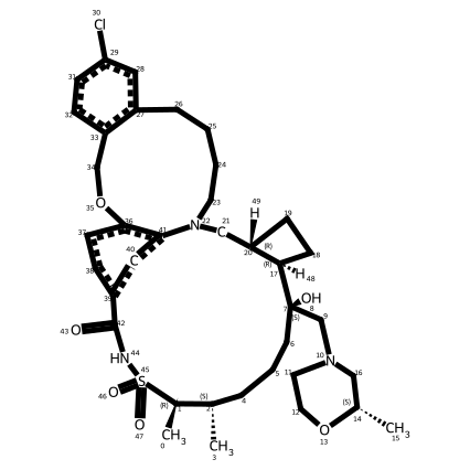 C[C@@H]1[C@@H](C)CCC[C@@](O)(CN2CCO[C@@H](C)C2)[C@@H]2CC[C@H]2CN2CCCCc3cc(Cl)ccc3COc3ccc(cc32)C(=O)NS1(=O)=O